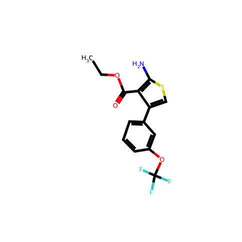 CCOC(=O)c1c(-c2cccc(OC(F)(F)F)c2)csc1N